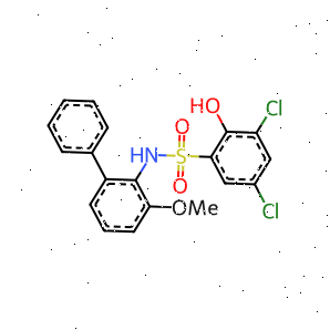 COc1cccc(-c2ccccc2)c1NS(=O)(=O)c1cc(Cl)cc(Cl)c1O